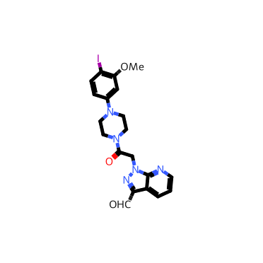 COc1cc(N2CCN(C(=O)Cn3nc(C=O)c4cccnc43)CC2)ccc1I